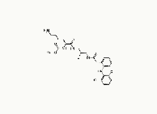 CC(C)(C)OC(=O)N[C@@H](CCCCN)C(=O)NCC(O)CNC(=O)Cc1ccccc1Nc1c(Cl)cccc1Cl